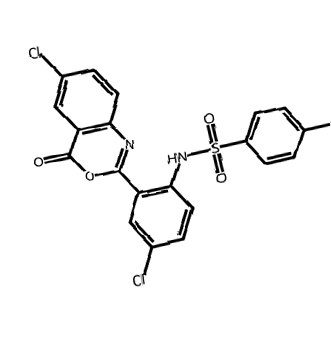 O=c1oc(-c2cc(Cl)ccc2NS(=O)(=O)c2ccc(Cl)cc2)nc2ccc(Cl)cc12